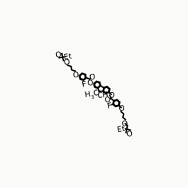 CCC1(COCCCCOc2ccc(C(=O)Oc3ccc4c(c3)C(C)(C)c3cc(OC(=O)c5ccc(OCCCCOCC6(CC)COC6)cc5F)ccc3-4)c(F)c2)COC1